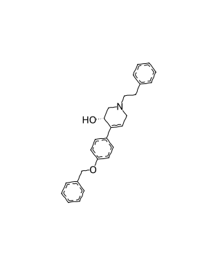 O[C@@H]1CN(CCc2ccccc2)CC=C1c1ccc(OCc2ccccc2)cc1